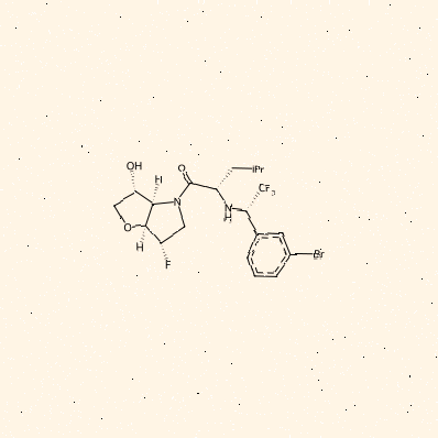 CC(C)C[C@H](N[C@@H](c1cccc(Br)c1)C(F)(F)F)C(=O)N1C[C@H](F)[C@H]2OC[C@H](O)[C@H]21